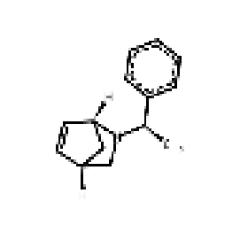 C[C@H](c1ccccc1)N1C[C@@H]2C=C[C@H]1C2